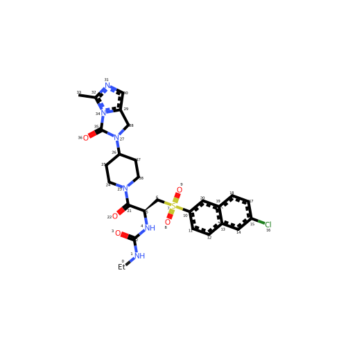 CCNC(=O)N[C@H](CS(=O)(=O)c1ccc2cc(Cl)ccc2c1)C(=O)N1CCC(N2Cc3cnc(C)n3C2=O)CC1